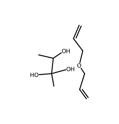 C=CCOCC=C.CC(O)C(C)(O)O